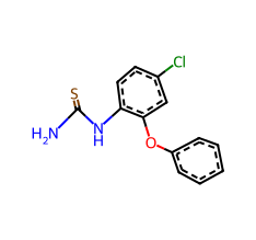 NC(=S)Nc1ccc(Cl)cc1Oc1ccccc1